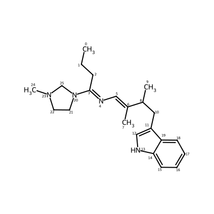 CCC/C(=N\C=C(/C)C(C)Cc1c[nH]c2ccccc12)N1CCN(C)C1